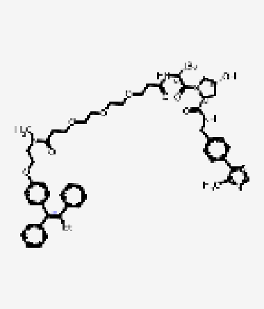 CC/C(=C(\c1ccccc1)c1ccc(OCCN(C)C(=O)CCOCCOCCOCCC(=O)N[C@H](C(=O)N2C[C@H](O)C[C@H]2C(=O)NCc2ccc(-c3scnc3C)cc2)C(C)(C)C)cc1)c1ccccc1